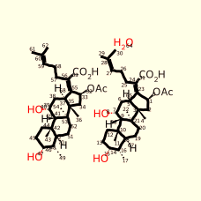 CC(=O)O[C@H]1C[C@@]2(C)[C@@H](C[C@@H](O)[C@H]3[C@@]4(C)CC[C@@H](O)[C@@H](C)[C@@H]4CC[C@@]32C)/C1=C(\CCC=C(C)C)C(=O)O.CC(=O)O[C@H]1C[C@@]2(C)[C@@H](C[C@@H](O)[C@H]3[C@@]4(C)CC[C@@H](O)[C@@H](C)[C@@H]4CC[C@@]32C)/C1=C(\CCC=C(C)C)C(=O)O.O